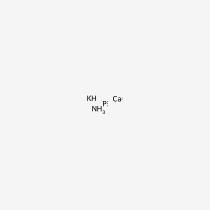 N.[Ca].[KH].[P]